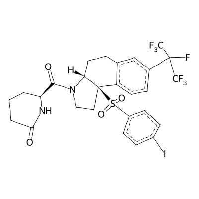 O=C1CCC[C@@H](C(=O)N2CC[C@@]3(S(=O)(=O)c4ccc(I)cc4)c4ccc(C(F)(C(F)(F)F)C(F)(F)F)cc4CC[C@@H]23)N1